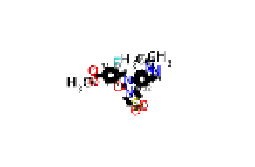 COC(=O)c1ccc(CN(C(=O)N2CCS(=O)(=O)CC2)c2ccc3cnn(C(C)C)c3c2)c(F)c1